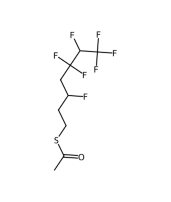 CC(=O)SCCC(F)CC(F)(F)C(F)C(F)(F)F